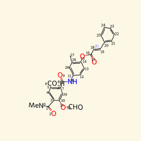 CNC(=O)c1cc(C(=O)O)c(C(=O)Nc2ccc(OC(=O)/C=C/c3ccccc3)c(C)c2)cc1OC=O